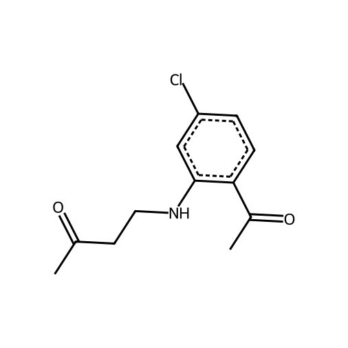 CC(=O)CCNc1cc(Cl)ccc1C(C)=O